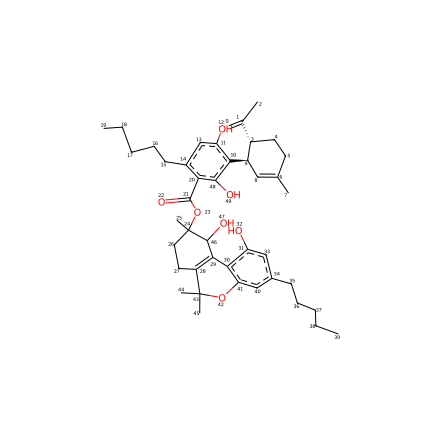 C=C(C)[C@@H]1CCC(C)=C[C@H]1c1c(O)cc(CCCCC)c(C(=O)OC2(C)CCC3=C(c4c(O)cc(CCCCC)cc4OC3(C)C)C2O)c1O